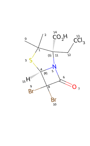 CC1(C)S[C@H]2N(C(=O)C2(Br)Br)[C@@]1(CC(Cl)(Cl)Cl)C(=O)O